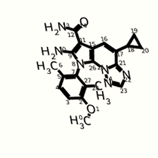 COc1ccc(C)c(-n2c(N)c(C(N)=O)c3cc(C4CC4)c4ncnn4c32)c1C